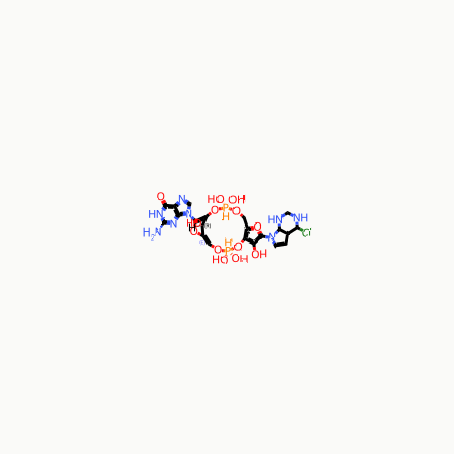 Nc1nc2c(ncn2C2=C3O[PH](O)(O)OCc4oc(N5C=CC6C(Cl)NCNC65)c(O)c4O[PH](O)(O)O/C=C(/O2)[C@H]3O)c(=O)[nH]1